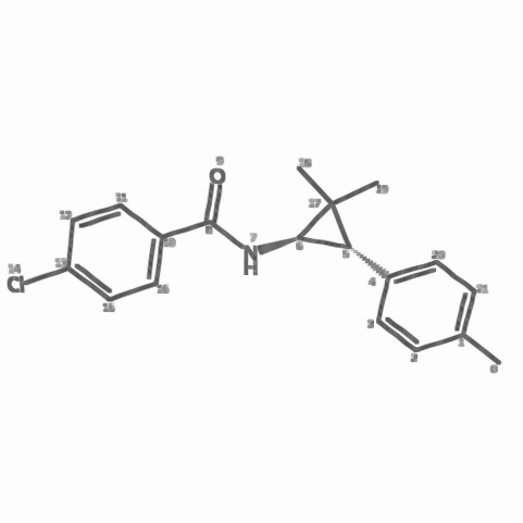 Cc1ccc([C@@H]2[C@@H](NC(=O)c3ccc(Cl)cc3)C2(C)C)cc1